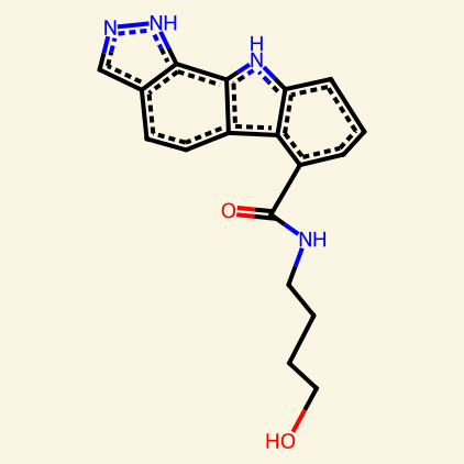 O=C(NCCCCO)c1cccc2[nH]c3c(ccc4cn[nH]c43)c12